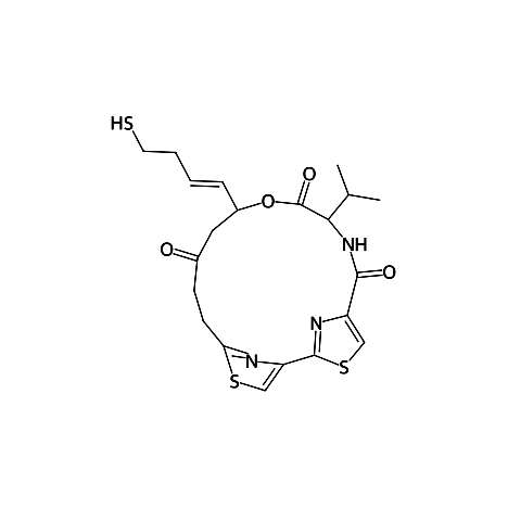 CC(C)C1NC(=O)c2csc(n2)-c2csc(n2)CCC(=O)CC(/C=C/CCS)OC1=O